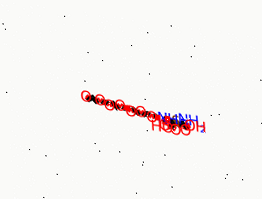 NC(CSC(CC(=O)NCCOCCOCCOCCOCCOCCOCCC=O)C(=O)O)C(=O)O